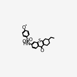 CCC1CCc2c(sc3cc(NS(=O)(=O)c4ccc(OC)cc4)ccc3c2=O)C1